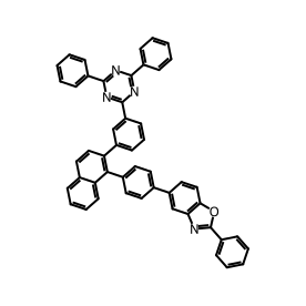 c1ccc(-c2nc(-c3ccccc3)nc(-c3cccc(-c4ccc5ccccc5c4-c4ccc(-c5ccc6oc(-c7ccccc7)nc6c5)cc4)c3)n2)cc1